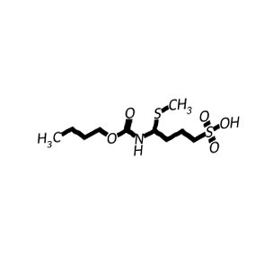 CCCCOC(=O)NC(CCCS(=O)(=O)O)SC